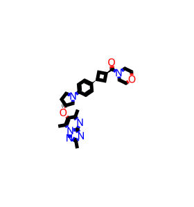 Cc1nc2nc(C)c(O[C@@H]3CCN(c4ccc([C@H]5C[C@H](C(=O)N6CCOCC6)C5)cc4)C3)c(C)n2n1